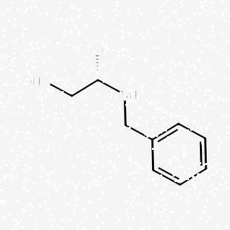 CC[C@@H](CC=O)NCc1ccccc1